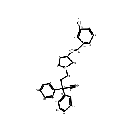 N#CC(CCN1CC[C@@H](OCc2cccc(Cl)c2)C1)(c1ccccc1)c1ccccc1